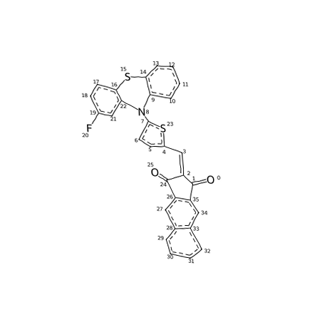 O=C1C(=Cc2ccc(N3c4ccccc4Sc4ccc(F)cc43)s2)C(=O)c2cc3ccccc3cc21